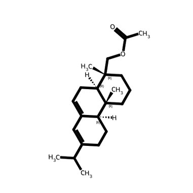 CC(=O)OC[C@]1(C)CCC[C@]2(C)[C@H]3CCC(C(C)C)=CC3=CC[C@@H]12